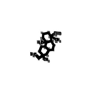 C=CC1(C)CCC2C(CCC3C(C)(C=O)CCCC23C)C1